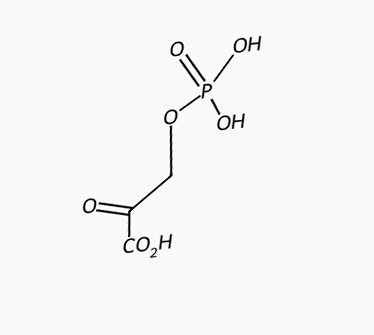 O=C(O)C(=O)COP(=O)(O)O